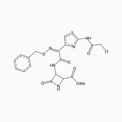 COC(=O)C1NC(=O)C1NC(=O)/C(=N\OCc1ccccc1)c1csc(NC(=O)CCl)n1